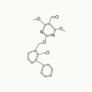 COc1nc(OCc2cccc(-c3ccccc3)c2Cl)nc(OC)c1C=O